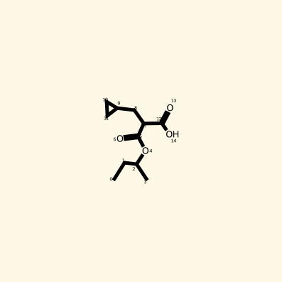 CCC(C)OC(=O)C(CC1CC1)C(=O)O